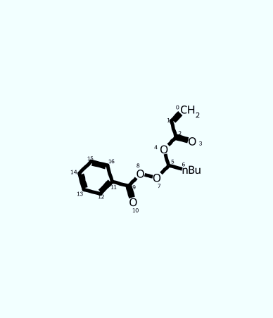 C=CC(=O)OC(CCCC)OOC(=O)c1ccccc1